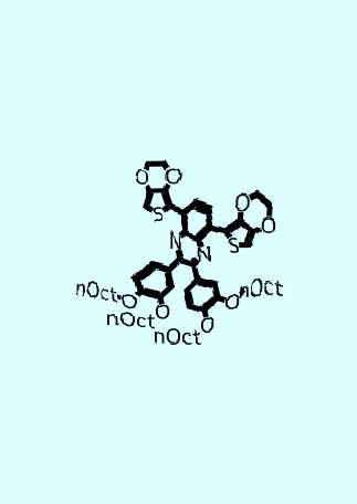 CCCCCCCCOc1ccc(-c2nc3c(-c4scc5c4OCCO5)ccc(-c4scc5c4OCCO5)c3nc2-c2ccc(OCCCCCCCC)c(OCCCCCCCC)c2)cc1OCCCCCCCC